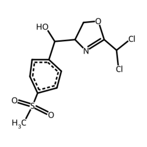 CS(=O)(=O)c1ccc(C(O)C2COC(C(Cl)Cl)=N2)cc1